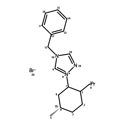 CC(C)C1CC[C@H](C)CC1[n+]1cn(Cc2ccccc2)cn1.[Br-]